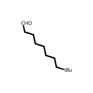 CC(C)(C)CCCCCCCC=O